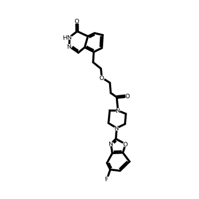 O=C(CCOCCc1cccc2c(=O)[nH]ncc12)N1CCN(c2nc3cc(F)ccc3o2)CC1